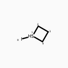 I[SH]1CCC1